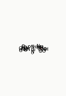 COC(=O)N[C@H](C(=O)N1CCC[C@H]1c1nc2cc([C@@H]3CC[C@@H](c4ccc5[nH]c([C@@H]6CCCN6C(=O)[C@@H](NC(=O)OC)[C@@H](C)OC)nc5c4)N3c3ccc(N4CCCCC4)c(F)c3)ccc2[nH]1)[C@@H](C)OC